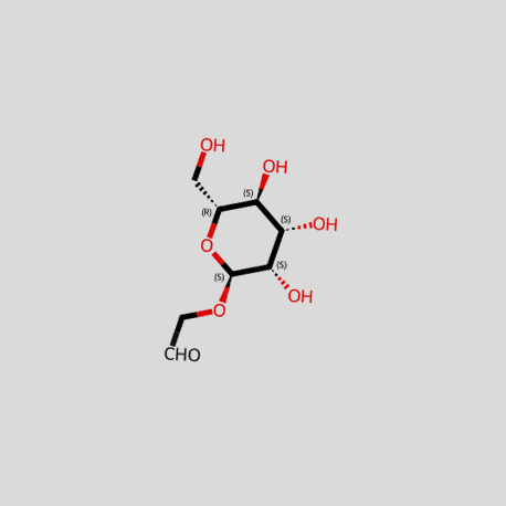 O=CCO[C@H]1O[C@H](CO)[C@@H](O)[C@H](O)[C@@H]1O